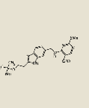 CSc1ncc(C=O)c(NCc2ccc3nc(CCO[Si](C)(C)C(C)(C)C)[nH]c3c2)n1